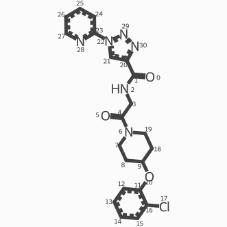 O=C(NCC(=O)N1CCC(Oc2ccccc2Cl)CC1)c1cn(-c2ccccn2)nn1